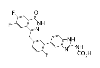 O=C(O)Nc1nc2cc(-c3cc(Cc4n[nH]c(=O)c5cc(F)c(F)cc45)ccc3F)ccc2[nH]1